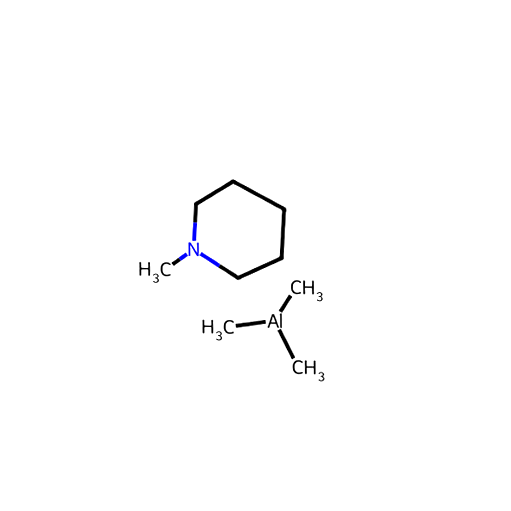 CN1CCCCC1.[CH3][Al]([CH3])[CH3]